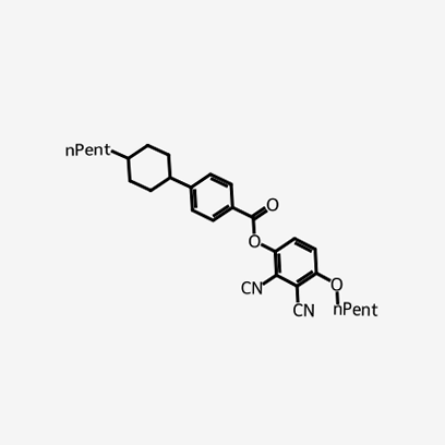 [C-]#[N+]c1c(OC(=O)c2ccc(C3CCC(CCCCC)CC3)cc2)ccc(OCCCCC)c1C#N